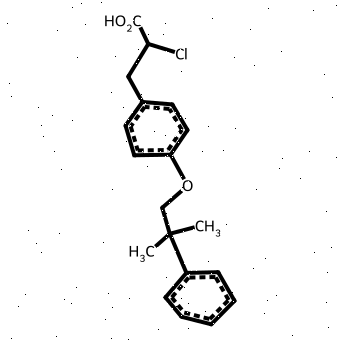 CC(C)(COc1ccc(CC(Cl)C(=O)O)cc1)c1ccccc1